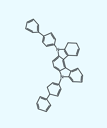 C1=Cc2c(n(-c3ccc(-c4ccccc4)cc3)c3ccc4c(c5ccccc5n4C4=CCC(c5ccccc5)C=C4)c23)CC1